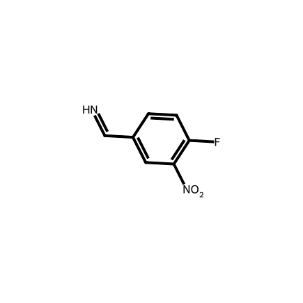 N=Cc1ccc(F)c([N+](=O)[O-])c1